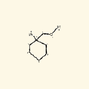 CCOCC1(C(C)C)CCCCC1